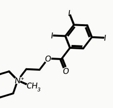 C[N+]1(CCOC(=O)c2cc(I)cc(I)c2I)CCCCC1